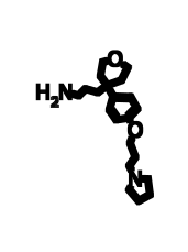 NCCCC1(c2ccc(OCCCN3CCCC3)cc2)CCOCC1